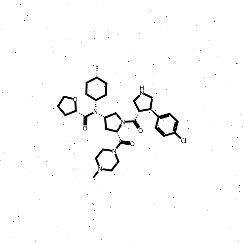 CN1CCN(C(=O)[C@@H]2C[C@H](N(C(=O)[C@@H]3CCCO3)[C@H]3CC[C@@H](C)CC3)CN2C(=O)[C@@H]2CNC[C@H]2c2ccc(Cl)cc2)CC1